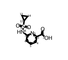 O=C(O)c1cccc(NS(=O)(=O)C2CC2)n1